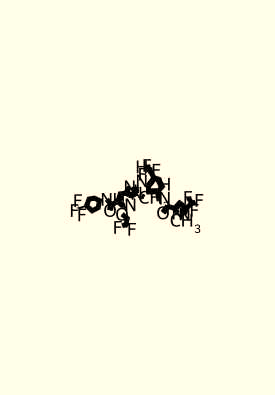 Cn1nc(C(F)(F)F)cc1C(=O)NCc1ccc(C(F)(F)F)c(Nc2nc3cc(C(=O)N[C@H]4CC[C@H](C(F)(F)F)CC4)c(OCC(F)F)nc3n2C)c1